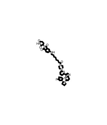 O=C1CCC(N2C(=O)c3ccc(NCCCCCCCC(=O)N4CCN(c5cccc(-c6cnc7ccc(N8CCC[C@@H]8c8cccc(F)c8)nn67)n5)CC4)cc3C2=O)C(=O)N1